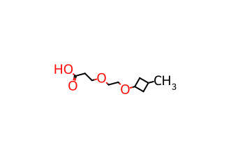 CC1CC(OCCOCCC(=O)O)C1